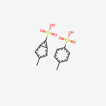 Cc1cc2c(S(=O)(=O)O)c-2c1.Cc1ccc(S(=O)(=O)O)cc1